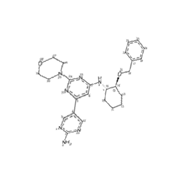 Nc1ncc(-c2cc(N[C@H]3CCCC[C@@H]3OCc3ccccc3)nc(N3CCOCC3)n2)cn1